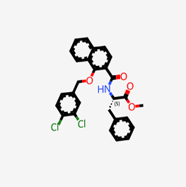 COC(=O)[C@H](Cc1ccccc1)NC(=O)c1ccc2ccccc2c1OCc1ccc(Cl)c(Cl)c1